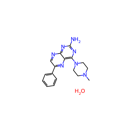 CN1CCN(c2nc(N)nc3ncc(-c4ccccc4)nc23)CC1.O